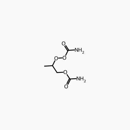 CC(COC(N)=O)OOC(N)=O